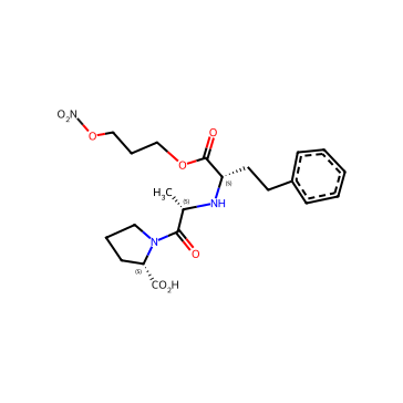 C[C@H](N[C@@H](CCc1ccccc1)C(=O)OCCCO[N+](=O)[O-])C(=O)N1CCC[C@H]1C(=O)O